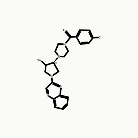 O=C(c1ccc(Cl)cc1)N1CCN([C@H]2CN(c3cnc4ccccc4n3)CC2O)CC1